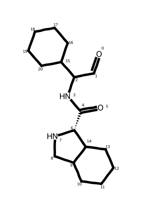 O=CC(NC(=O)[C@H]1NCC2CCCCC21)C1CCCCC1